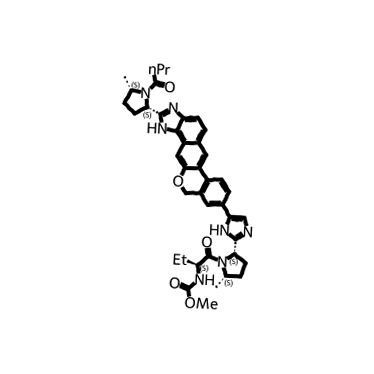 CCCC(=O)N1[C@@H](C)CC[C@H]1c1nc2ccc3cc4c(cc3c2[nH]1)OCc1cc(-c2cnc([C@@H]3CC[C@H](C)N3C(=O)[C@H](CC)NC(=O)OC)[nH]2)ccc1-4